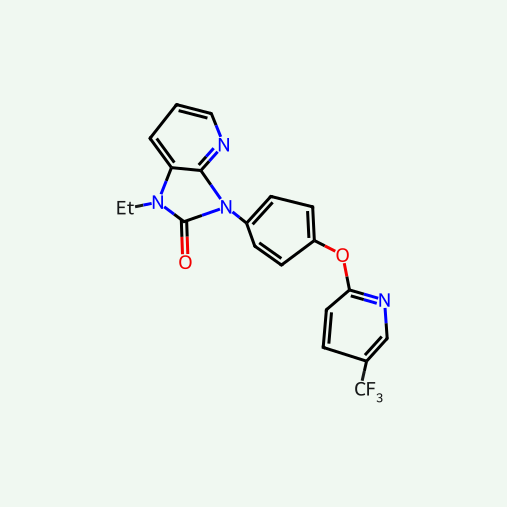 CCn1c(=O)n(-c2ccc(Oc3ccc(C(F)(F)F)cn3)cc2)c2ncccc21